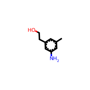 Cc1cc(N)cc(CCO)c1